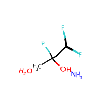 N.O.OC(F)(C(F)F)C(F)(F)F